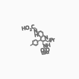 Cc1ccc(-c2c(CNC(=O)OC(C)(C)C)c(CC(C)C)nc3ccc(NCC(=O)O)cc23)cc1